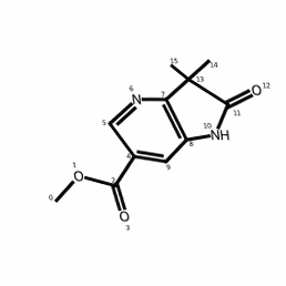 COC(=O)c1cnc2c(c1)NC(=O)C2(C)C